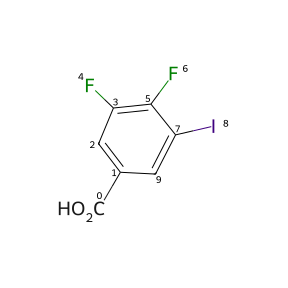 O=C(O)c1cc(F)c(F)c(I)c1